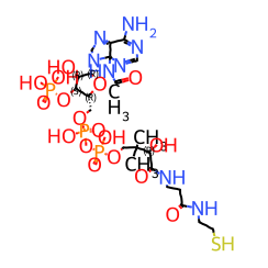 CC(=O)NC12N=CN=C(N)C1=NCN2[C@@H]1O[C@H](COP(=O)(O)OP(=O)(O)OCC(C)(C)[C@@H](O)C(=O)NCCC(=O)NCCS)[C@@H](OP(=O)(O)O)[C@H]1O